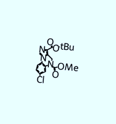 COC(=O)N1Cc2c(C(=O)OC(C)(C)C)ncn2-c2ccc(Cl)cc21